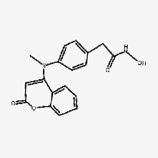 CN(c1ccc(CC(=O)NO)cc1)c1cc(=O)oc2ccccc12